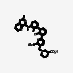 COc1nc(-c2cccc(-c3cccc(Nc4nc(C)nc5cccnc45)c3C)c2Cl)ccc1CN1CCCC(C(=O)O)C1